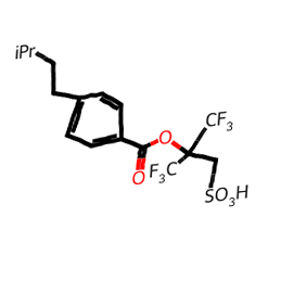 CC(C)CCc1ccc(C(=O)OC(CS(=O)(=O)O)(C(F)(F)F)C(F)(F)F)cc1